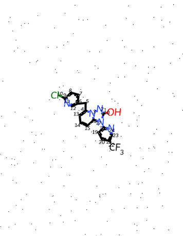 OC1=NN2C(Cc3ccc(Cl)nc3)=CC=CC2N1c1ccc(C(F)(F)F)cn1